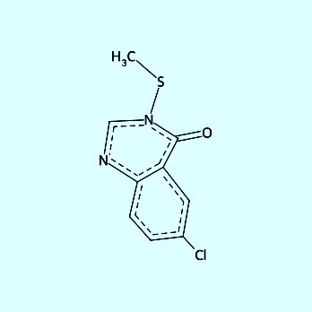 CSn1cnc2ccc(Cl)cc2c1=O